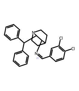 Clc1ccc(/C=N\C2C3CCN(CC3)C2C(c2ccccc2)c2ccccc2)cc1Cl